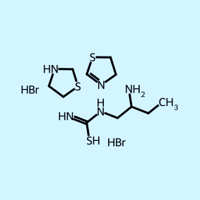 Br.Br.C1=NCCS1.C1CSCN1.CCC(N)CNC(=N)S